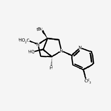 CC(C)(C)[C@]12CN(c3cc(C(F)(F)F)ccn3)[C@@H](CN1C(=O)O)C2O